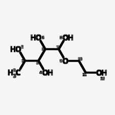 CC(O)C(O)C(O)C(O)OCCO